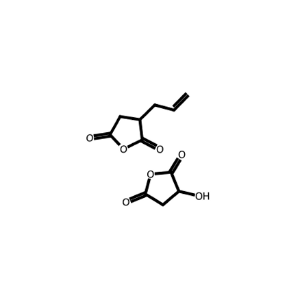 C=CCC1CC(=O)OC1=O.O=C1CC(O)C(=O)O1